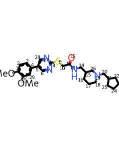 COc1ccc(-c2cnc(SCC(=O)NCC3CCCN(CC4CCCC4)C3)nc2)cc1OC